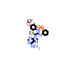 CCC(C1=Nc2ccccc2S(=O)(=O)N1c1ccc(OC(F)(F)F)cc1)n1cnc2c(N)ncnc21